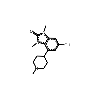 CN1CCC(c2cc(O)cc3c2n(C)c(=O)n3C)CC1